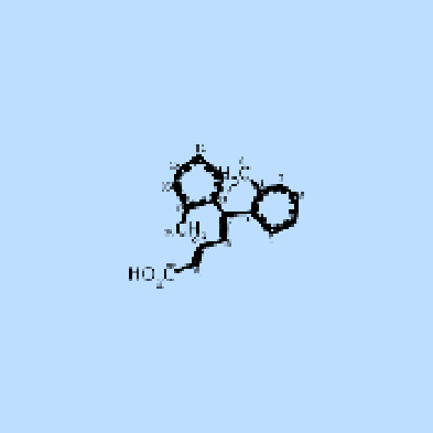 Cc1ccccc1C(=CC=CC(=O)O)c1ccccc1C